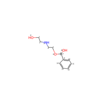 OCCNCCOB(O)c1ccccc1